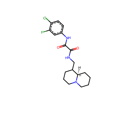 O=C(NCC1CCCN2CCCC[C@H]12)C(=O)Nc1ccc(Cl)c(F)c1